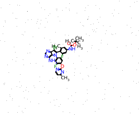 Cc1ccnc(Oc2ccc(-n3c(-c4c(C)cc(NC(=O)OC(C)(C)C)cc4F)c(Br)c4ncnc(N)c43)cc2F)n1